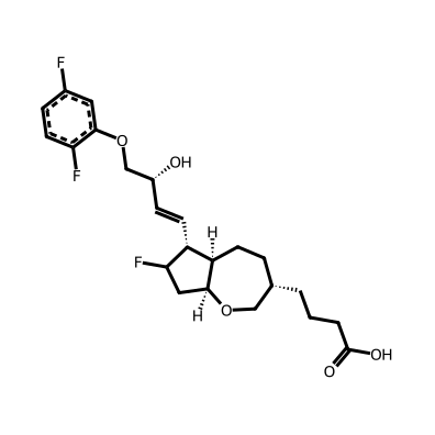 O=C(O)CCC[C@H]1CC[C@H]2[C@H](CC(F)[C@@H]2/C=C/[C@@H](O)COc2cc(F)ccc2F)OC1